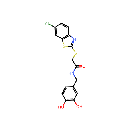 O=C(CSc1nc2ccc(Cl)cc2s1)NCc1ccc(O)c(O)c1